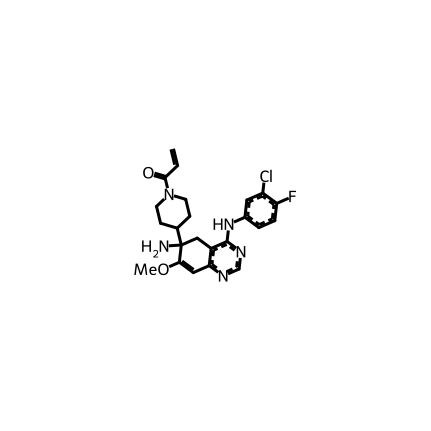 C=CC(=O)N1CCC(C2(N)Cc3c(ncnc3Nc3ccc(F)c(Cl)c3)C=C2OC)CC1